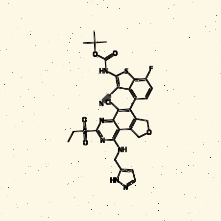 CCS(=O)(=O)c1nc(NCc2ccn[nH]2)c2c3c(c(-c4ccc(F)c5sc(NC(=O)OC(C)(C)C)c(C#N)c45)c(Cl)c2n1)COC3